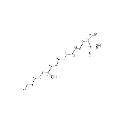 CCCCCCC(O)CCCCCCCCCC(CC)C(=O)O